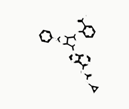 O=C(Nc1ncnc2c1ncn2C1OC(Oc2ccccc2C(=O)O)C2O[C@H](c3ccccc3)OC21)NC1CC1